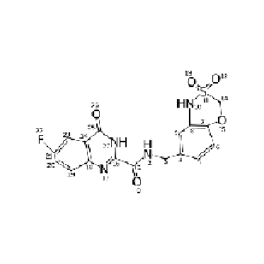 O=C(NCc1ccc2c(c1)NS(=O)(=O)CO2)c1nc2ccc(F)cc2c(=O)[nH]1